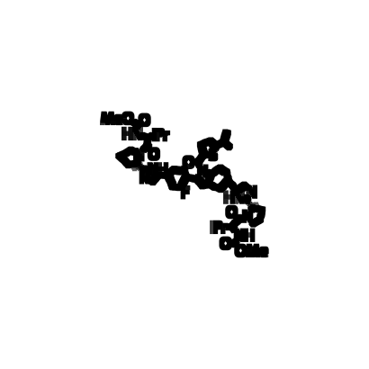 C=C(C)c1ccc(C2Oc3cc(-c4cnc([C@@H]5CCCN5C(=O)C(NC(=O)OC)C(C)C)[nH]4)cc(F)c3-c3cc4cc(-c5cnc([C@@H]6CCCN6C(=O)C(NC(=O)OC)C(C)C)[nH]5)ccc4n32)s1